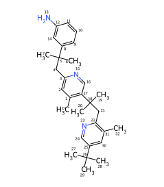 Cc1cc(CC(C)(C)c2cccc(N)c2)ncc1C(C)(C)Cc1ncc(C(C)(C)C)cc1C